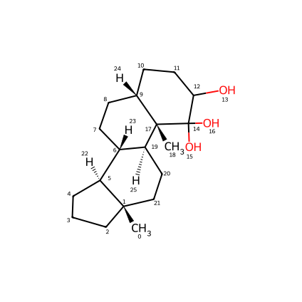 C[C@@]12CCC[C@H]1[C@@H]1CC[C@@H]3CCC(O)C(O)(O)[C@]3(C)[C@H]1CC2